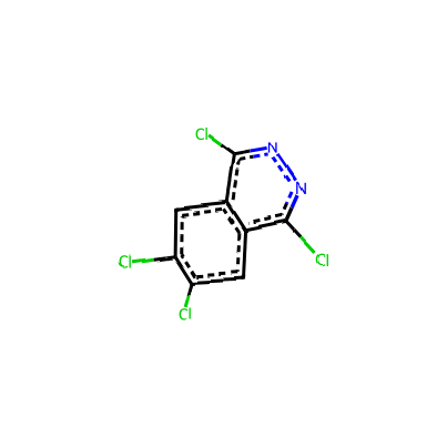 Clc1cc2c(Cl)nnc(Cl)c2cc1Cl